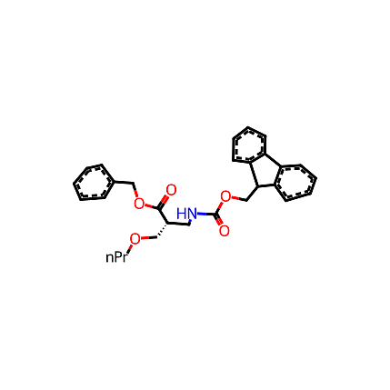 CCCOC[C@@H](CNC(=O)OCC1c2ccccc2-c2ccccc21)C(=O)OCc1ccccc1